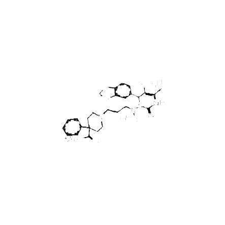 COC(=O)C1(c2ccccc2)CCN(CCCN(C=O)N2C(=O)NC(C)=C(C(=O)O)C2c2ccc3c(c2)OCO3)CC1